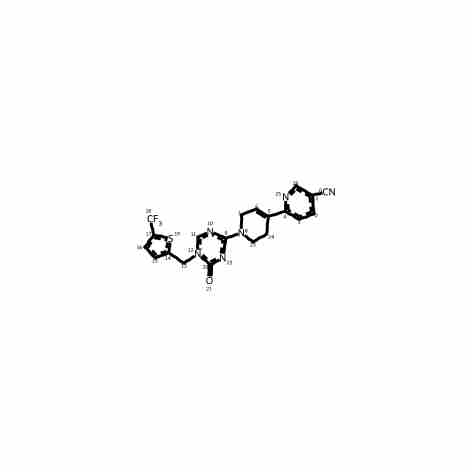 N#Cc1ccc(C2=CCN(c3ncn(Cc4ccc(C(F)(F)F)s4)c(=O)n3)CC2)nc1